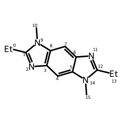 CCc1nc2cc3c(cc2n1C)nc(CC)n3C